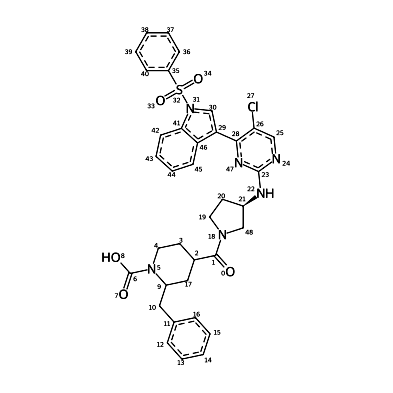 O=C(C1CCN(C(=O)O)C(Cc2ccccc2)C1)N1CC[C@@H](Nc2ncc(Cl)c(-c3cn(S(=O)(=O)c4ccccc4)c4ccccc34)n2)C1